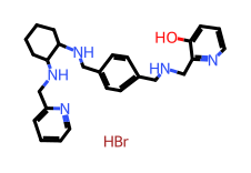 Br.Oc1cccnc1CNCc1ccc(CNC2CCCCC2NCc2ccccn2)cc1